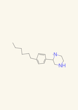 CCCCCCc1ccc(C2CNCC[N]2)cc1